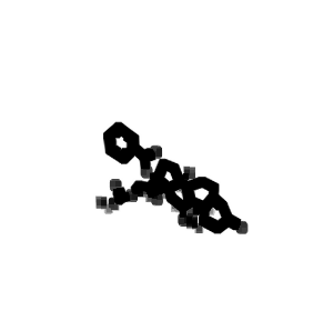 CC(=O)OCC(=O)[C@@]1(OC(=O)c2ccccc2)CC[C@H]2C3=C([C@@H](O)C[C@@]21C)[C@@]1(C)C=CC(=O)C=C1CC3